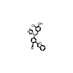 N#Cc1ccc(N(Cc2ccc(O)c(Cl)c2)n2cnnc2)cc1-c1cc2ccccc2o1